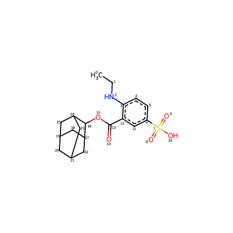 CCNc1ccc(S(=O)(=O)O)cc1C(=O)OC1C2CC3CC(C2)CC1C3